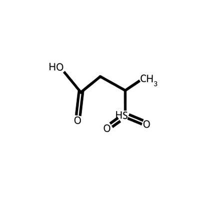 CC(CC(=O)O)[SH](=O)=O